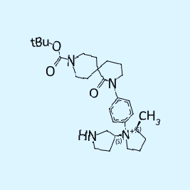 C[C@H]1CCC[N+]1(c1ccc(N2CCCC3(CCN(C(=O)OC(C)(C)C)CC3)C2=O)cc1)[C@H]1CCNC1